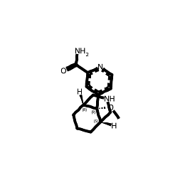 CO[C@@]1(c2ccnc(C(N)=O)c2)[C@@H]2CCC[C@H]1CNC2